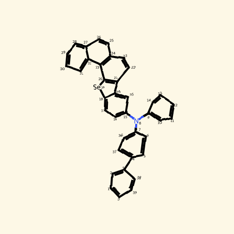 c1ccc(-c2ccc(N(c3ccccc3)c3ccc4[se]c5c(ccc6ccc7ccccc7c65)c4c3)cc2)cc1